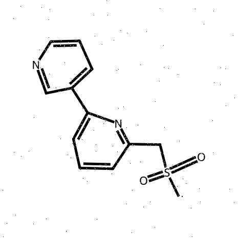 [CH2]S(=O)(=O)Cc1cccc(-c2cccnc2)n1